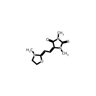 CN1C(=O)/C(=C\C=C2/OCCN2C)N(C)C1=S